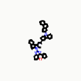 C/C(=C\c1c(C)n(-c2nc3c4c(cccc4n2)Oc2ccccc2-3)c2ccc3ccccc3c12)c1ccc2c(c1)c1ccccc1n2-c1ccc2c(ccc3ccccc32)c1